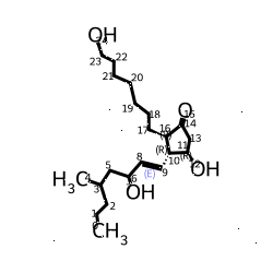 CCCC(C)CC(O)/C=C/[C@H]1[C@H](O)CC(=O)[C@@H]1CCCCCCCO